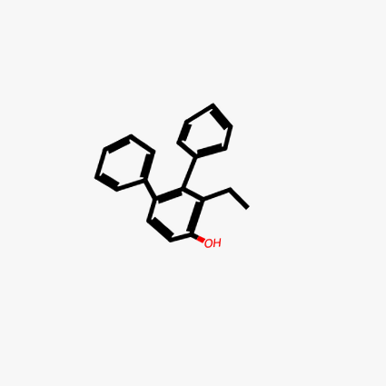 CCc1c(O)ccc(-c2ccccc2)c1-c1ccccc1